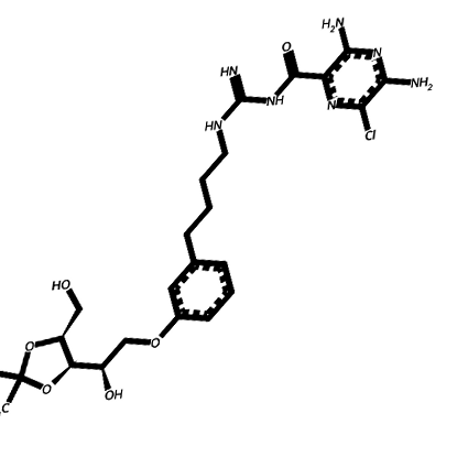 CC1(C)O[C@H]([C@H](O)COc2cccc(CCCCNC(=N)NC(=O)c3nc(Cl)c(N)nc3N)c2)[C@H](CO)O1